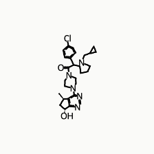 C[C@@H]1C[C@@H](O)c2ncnc(N3CCN(C(=O)C(c4ccc(Cl)cc4)C4CCCN4CC4CC4)CC3)c21